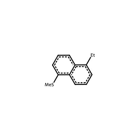 CCc1cccc2c(SC)cccc12